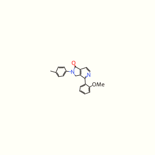 COc1ccccc1-c1nccc2c1CN(c1ccc(C)cc1)C2=O